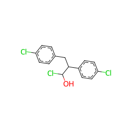 OC(Cl)C(Cc1ccc(Cl)cc1)c1ccc(Cl)cc1